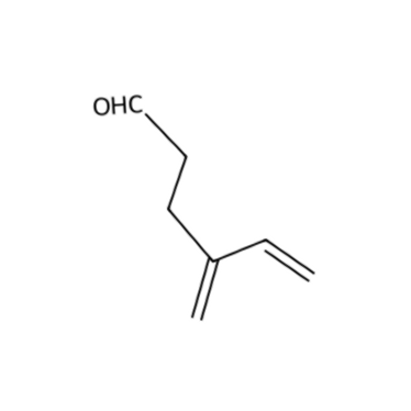 C=CC(=C)CCC=O